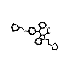 O=C(O)c1c(C(c2ccccc2)c2ccc(OCc3ccccc3)cc2)c2ccccc2n1CCN1CCCC1